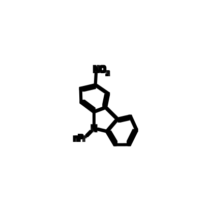 CCCn1c2ccccc2c2cc([N+](=O)[O-])ccc21